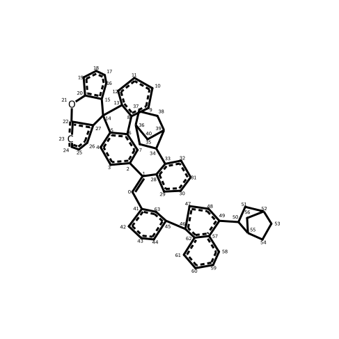 C(=C(\c1ccc2c(c1)-c1ccccc1C21c2ccccc2Oc2ccccc21)c1ccccc1C1CC2CCC1C2)/c1cccc(-c2ccc(C3CC4CCC3C4)c3ccccc23)c1